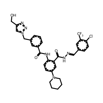 O=C(Nc1ccc(N2CCCCC2)cc1C(=O)N/N=C/c1ccc(Cl)c(C(F)(F)F)c1)c1cccc(Cn2cc(CO)nn2)c1